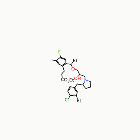 CCOC(=O)CCc1cc(C)c(F)cc1[C@@H](CC)OC[C@H](O)CN1CCC[C@H]1Cc1ccc(Cl)c(CC)c1